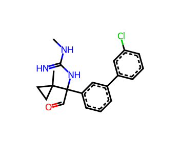 CNC(=N)NC(C=O)(c1cccc(-c2cccc(Cl)c2)c1)C1(C)CC1